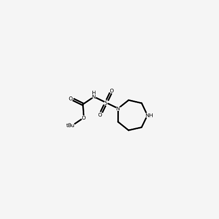 CC(C)(C)OC(=O)NS(=O)(=O)N1CCCNCC1